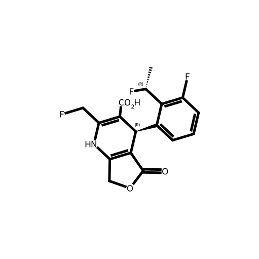 C[C@@H](F)c1c(F)cccc1[C@@H]1C(C(=O)O)=C(CF)NC2=C1C(=O)OC2